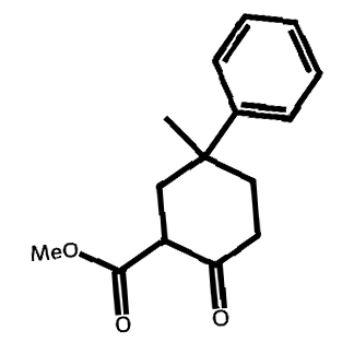 COC(=O)C1CC(C)(c2ccccc2)CCC1=O